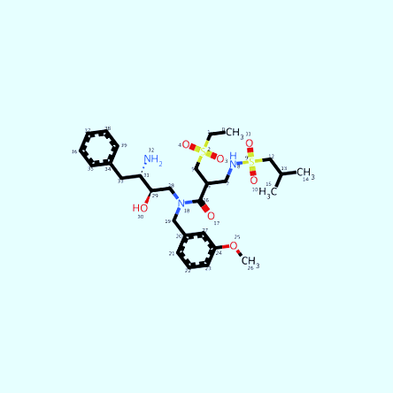 CCS(=O)(=O)CC(CNS(=O)(=O)CC(C)C)C(=O)N(Cc1cccc(OC)c1)C[C@@H](O)[C@@H](N)Cc1ccccc1